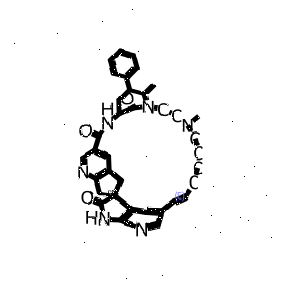 CC1C(c2ccccc2)CC2NC(=O)c3cnc4c(c3)C[C@@]3(C4)C(=O)Nc4ncc(cc43)/C=C/CCCCN(C)CCN1C2=O